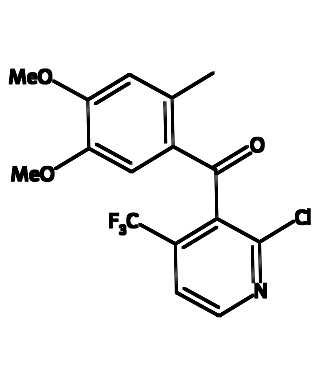 COc1cc(C)c(C(=O)c2c(C(F)(F)F)ccnc2Cl)cc1OC